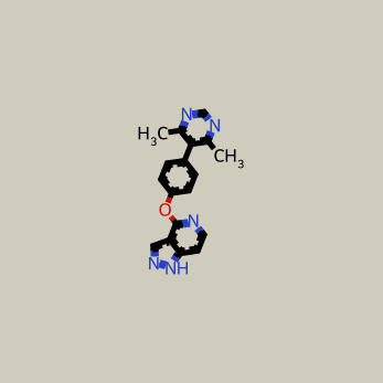 Cc1ncnc(C)c1-c1ccc(Oc2nccc3[nH]ncc23)cc1